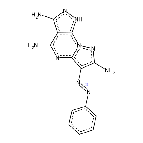 Nc1nn2c(nc(N)c3c(N)n[nH]c32)c1/N=N/c1ccccc1